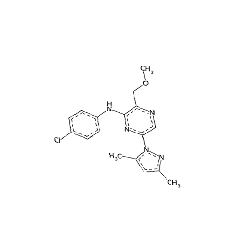 COCc1ncc(-n2nc(C)cc2C)nc1Nc1ccc(Cl)cc1